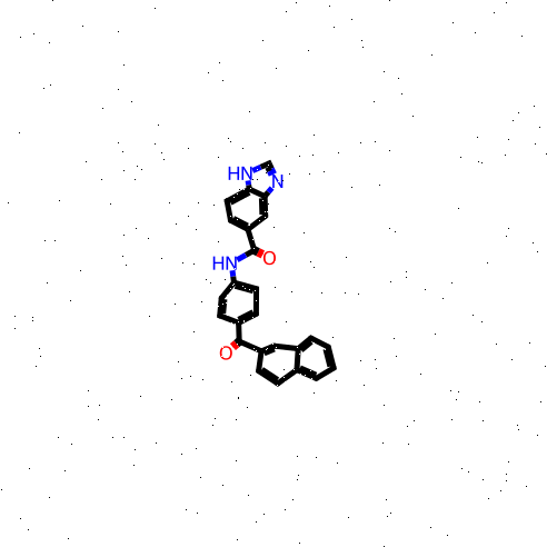 O=C(Nc1ccc(C(=O)c2ccc3ccccc3c2)cc1)c1ccc2[nH]cnc2c1